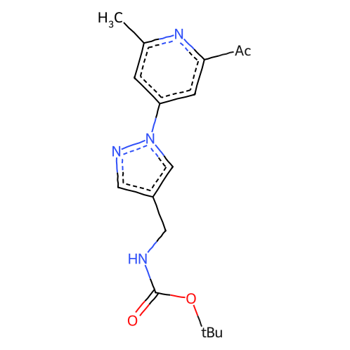 CC(=O)c1cc(-n2cc(CNC(=O)OC(C)(C)C)cn2)cc(C)n1